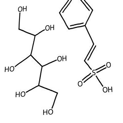 O=S(=O)(O)C=Cc1ccccc1.OCC(O)C(O)C(O)C(O)CO